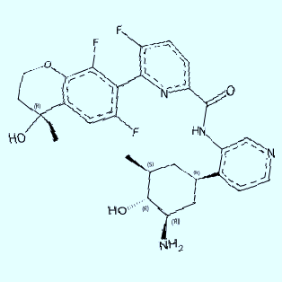 C[C@H]1C[C@@H](c2ccncc2NC(=O)c2ccc(F)c(-c3c(F)cc4c(c3F)OCC[C@@]4(C)O)n2)C[C@@H](N)[C@@H]1O